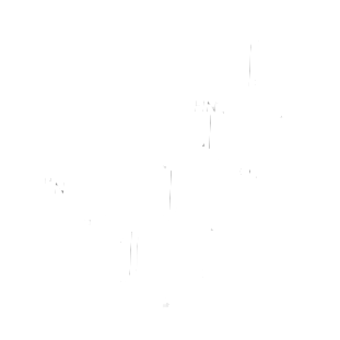 CC(C)NC(=O)Cc1ccccc1C#N